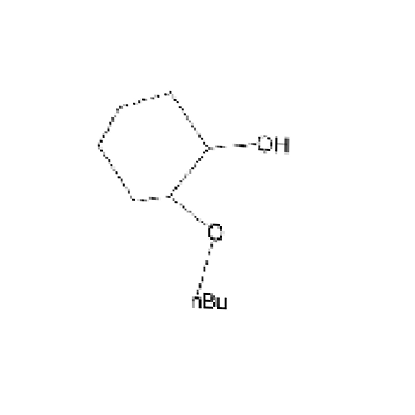 CCCCOC1CCCCC1O